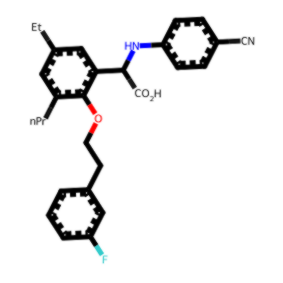 CCCc1cc(CC)cc(C(Nc2ccc(C#N)cc2)C(=O)O)c1OCCc1cccc(F)c1